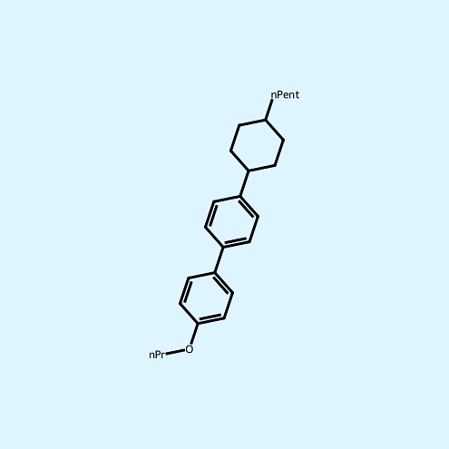 CCCCCC1CCC(c2ccc(-c3ccc(OCCC)cc3)cc2)CC1